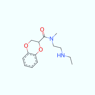 CCNCCN(C)C(=O)C1COc2ccccc2O1